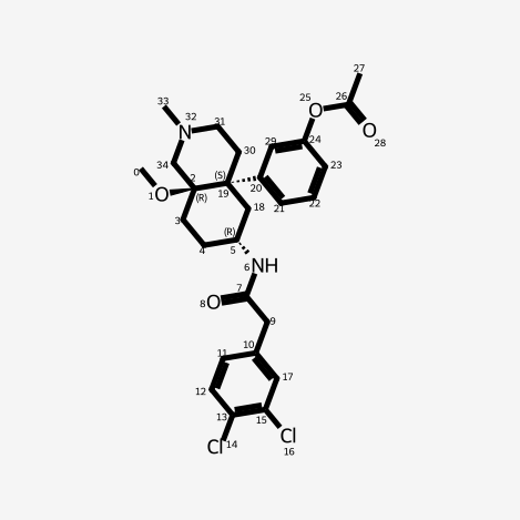 CO[C@]12CC[C@@H](NC(=O)Cc3ccc(Cl)c(Cl)c3)C[C@]1(c1cccc(OC(C)=O)c1)CCN(C)C2